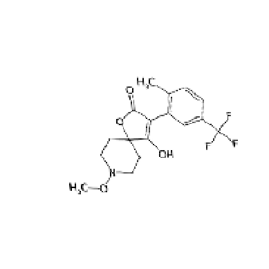 CON1CCC2(CC1)OC(=O)C(c1cc(C(F)(F)F)ccc1C)=C2O